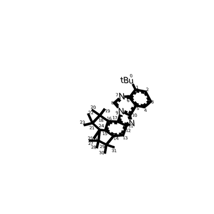 CC(C)(C)c1cccc2c1ncn1c2nc2cc3c4c(c21)C(C)(C)C(C)(C)C4(C)C(C)(C)C3(C)C